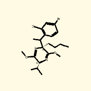 CCCC[C@@]1(C(C)c2ccc(Br)cc2Cl)N=C(OC)[C@@H](C(C)C)N=C1OC